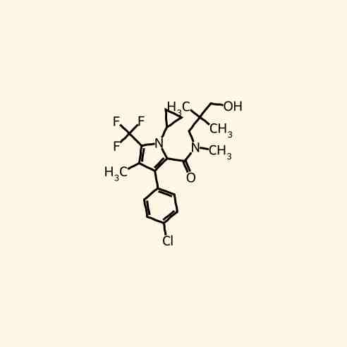 Cc1c(-c2ccc(Cl)cc2)c(C(=O)N(C)CC(C)(C)CO)n(C2CC2)c1C(F)(F)F